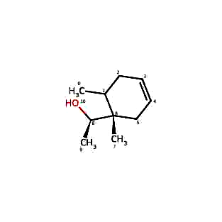 CC1CC=CC[C@]1(C)[C@@H](C)O